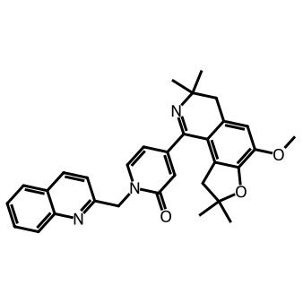 COc1cc2c(c3c1OC(C)(C)C3)C(c1ccn(Cc3ccc4ccccc4n3)c(=O)c1)=NC(C)(C)C2